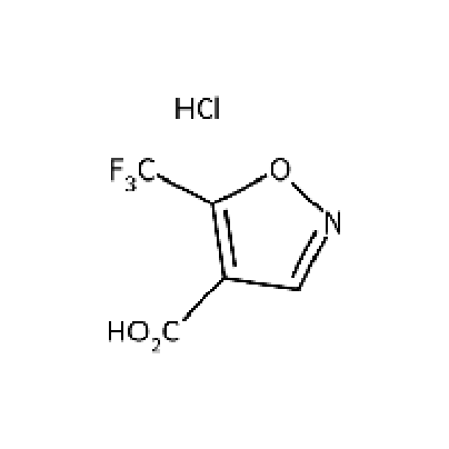 Cl.O=C(O)c1cnoc1C(F)(F)F